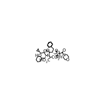 CC(C)(C(=O)N1CCOCC1)S(=O)(=O)C[C@@H](Cc1ccccc1)C(=O)N(C(C(=O)O)C(=O)O)[C@@H](CC1CCCCC1)[C@@H](O)[C@@H](O)C1CC1